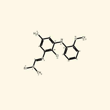 CCN(C)C=Nc1cc(C)cc(Nc2ccccc2OC(F)(F)F)c1Cl